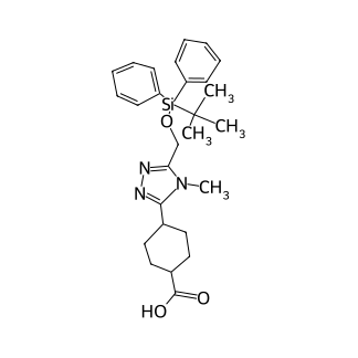 Cn1c(CO[Si](c2ccccc2)(c2ccccc2)C(C)(C)C)nnc1C1CCC(C(=O)O)CC1